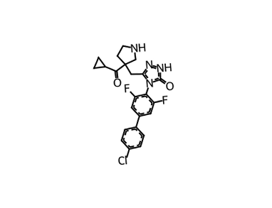 O=C(C1CC1)C1(Cc2n[nH]c(=O)n2-c2c(F)cc(-c3ccc(Cl)cc3)cc2F)CCNC1